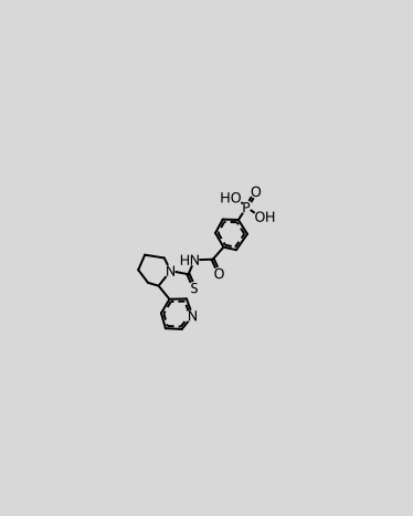 O=C(NC(=S)N1CCCCC1c1cccnc1)c1ccc(P(=O)(O)O)cc1